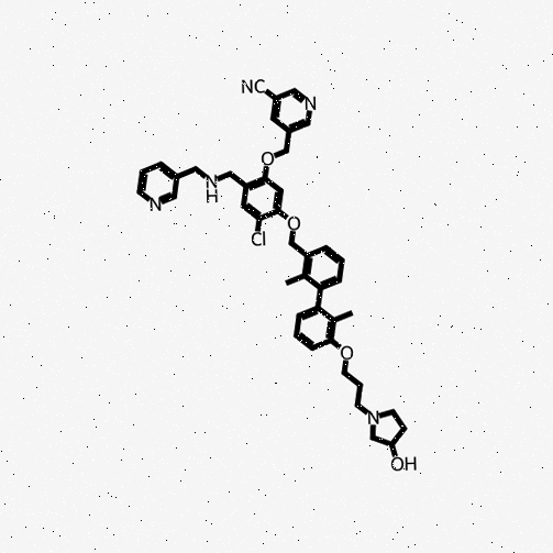 Cc1c(COc2cc(OCc3cncc(C#N)c3)c(CNCc3cccnc3)cc2Cl)cccc1-c1cccc(OCCCN2CCC(O)C2)c1C